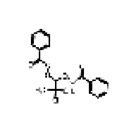 [CH2]C(C)(C)[C](OOC(=O)c1ccccc1)OOC(=O)c1ccccc1